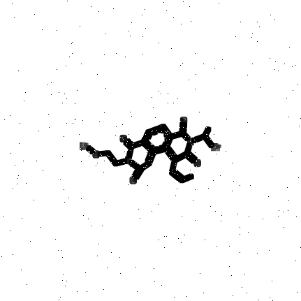 C/C=C\C1=c2c(ccc3c2=CC(=O)N(CCOCC)C3=O)C(=O)N(C(C)C(C)C)C1=O